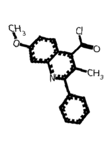 COc1ccc2c(C(=O)Cl)c(C)c(-c3ccccc3)nc2c1